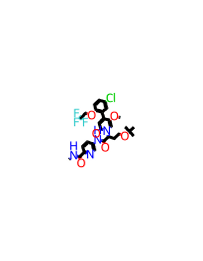 CNC(=O)c1ccc(NC(=O)C(CCOC(C)(C)C)n2cc(OC)c(-c3cc(Cl)ccc3OCC(F)(F)F)cc2=O)cn1